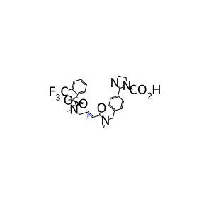 CN(Cc1ccc(C2=NCCN2C(=O)O)cc1)C(=O)/C=C/CN(C)S(=O)(=O)c1ccccc1C(F)(F)F